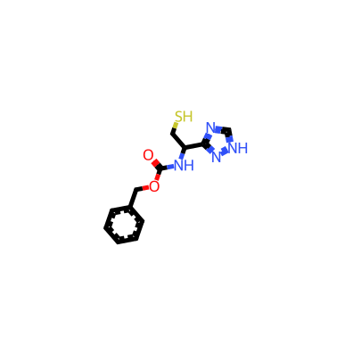 O=C(NC(CS)c1nc[nH]n1)OCc1ccccc1